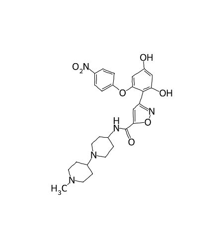 CN1CCC(N2CCC(NC(=O)c3cc(-c4c(O)cc(O)cc4Oc4ccc([N+](=O)[O-])cc4)no3)CC2)CC1